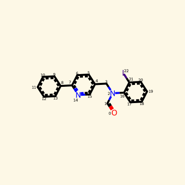 O=CN(Cc1ccc(-c2ccccc2)nc1)c1ccccc1I